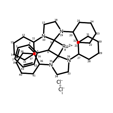 [Cl-].[Cl-].c1ccc(C2[C]3([Ru+2][C]24N(C2CCCCC2)CCN4C2CCCCC2)N(C2CCCCC2)CCN3C2CCCCC2)cc1